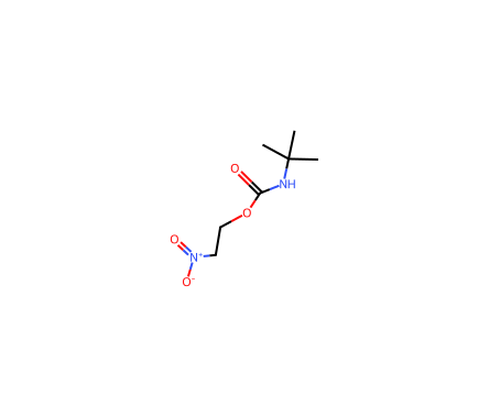 CC(C)(C)NC(=O)OCC[N+](=O)[O-]